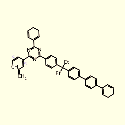 C=C/C=C(\C=C/C)c1nc(C2=CCCC=C2)nc(-c2ccc(C(CC)(CC)c3ccc(-c4ccc(C5=CCCC=C5)cc4)cc3)cc2)n1